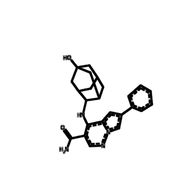 NC(=O)c1cnn2cc(-c3ccccc3)cc2c1NC1C2CC3CC1CC(O)(C3)C2